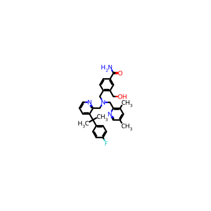 Cc1cnc(CN(Cc2ccc(C(N)=O)cc2CO)Cc2ncccc2C(C)(C)c2ccc(F)cc2)c(C)c1